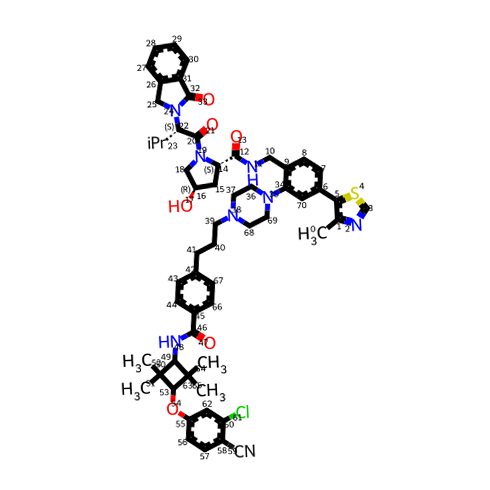 Cc1ncsc1-c1ccc(CNC(=O)[C@@H]2C[C@@H](O)CN2C(=O)[C@H](C(C)C)N2Cc3ccccc3C2=O)c(N2CCN(CCCc3ccc(C(=O)NC4C(C)(C)C(Oc5ccc(C#N)c(Cl)c5)C4(C)C)cc3)CC2)c1